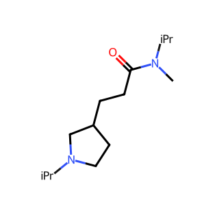 CC(C)N1CCC(CCC(=O)N(C)C(C)C)C1